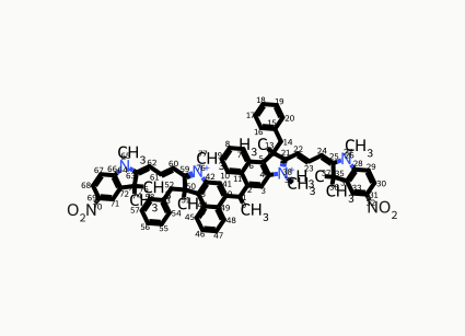 CC(c1cc2c(c3ccccc13)C(C)(Cc1ccccc1)C(/C=C/C=C1/N(C)c3ccc([N+](=O)[O-])cc3C1(C)C)=[N+]2C)c1cc2c(c3ccccc13)C(C)(Cc1ccccc1)C(/C=C/C=C1/N(C)c3ccc([N+](=O)[O-])cc3C1(C)C)=[N+]2C